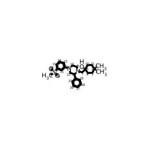 CC1(C)CCC(O)(CN2CCN(c3cccc(S(C)(=O)=O)c3)CC2c2ccccc2)CC1